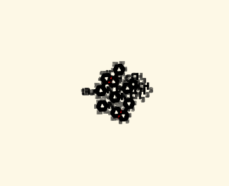 Cc1ccc(-c2ccccc2)cc1N1c2cc3c(cc2B2c4cc(-c5ccccc5)ccc4N(c4ccc(C(C)(C)C)cc4-c4ccccc4)c4cc(N(c5ccccc5)c5ccccc5)cc1c42)C(C)(C)CC3(C)C